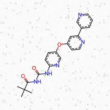 CC(C)(C)C(=O)NC(=O)Nc1ccc(Oc2ccnc(-c3cccnc3)c2)cn1